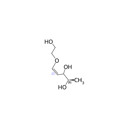 C[C@@H](O)C(O)/C=C\OCCO